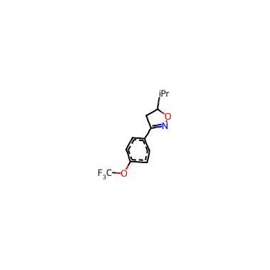 CC(C)C1CC(c2ccc(OC(F)(F)F)cc2)=NO1